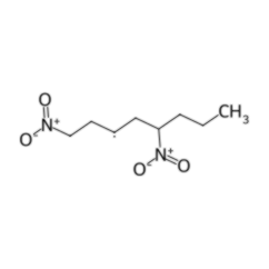 CCCC(C[CH]CC[N+](=O)[O-])[N+](=O)[O-]